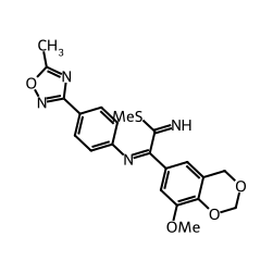 COc1cc(C(=Nc2ccc(-c3noc(C)n3)cc2)C(=N)SC)cc2c1OCOC2